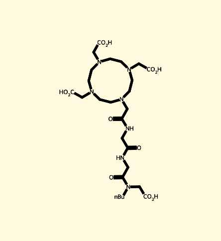 CCCCN(CC(=O)O)C(=O)CNC(=O)CNC(=O)CN1CCN(CC(=O)O)CCN(CC(=O)O)CCN(CC(=O)O)CC1